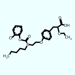 CCCCCN(CCOc1ccc(CC(OCC)C(=O)O)cc1)C(=O)Oc1ccccc1Cl